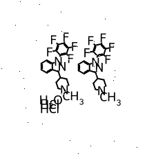 CN1CCC(c2nn(-c3c(F)c(F)c(F)c(F)c3F)c3ccccc23)CC1.CN1CCC(c2nn(-c3c(F)c(F)c(F)c(F)c3F)c3ccccc23)CC1.Cl.Cl.O